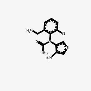 NCc1cccc(Cl)c1N(C(N)=S)c1cscc1N